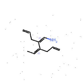 C=CCC(=C/C)/C(=C\N)CC=C